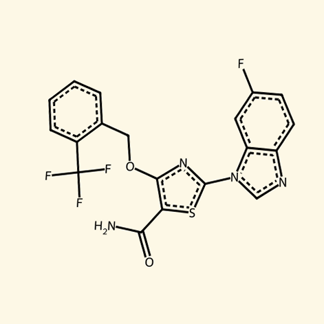 NC(=O)c1sc(-n2cnc3ccc(F)cc32)nc1OCc1ccccc1C(F)(F)F